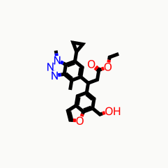 CCOC(=O)CC(c1cc(CO)c2occc2c1)c1cc(C2CC2)c2c(nnn2C)c1C